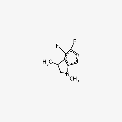 CC1CN(C)c2ccc(F)c(F)c21